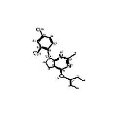 CCC(CC)Oc1nc(C)nc2c1CCN2c1ccc(Cl)cc1Cl